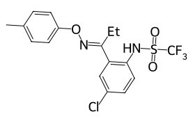 CC/C(=N\Oc1ccc(C)cc1)c1cc(Cl)ccc1NS(=O)(=O)C(F)(F)F